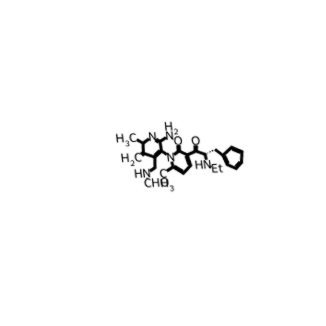 C=C1C(CNC=O)=C(n2c(C)ccc(C(=O)[C@H](Cc3ccccc3)NCC)c2=O)C(N)=NC1C